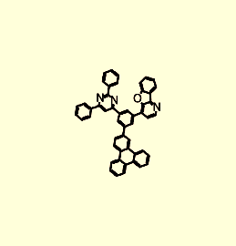 c1ccc(-c2cc(-c3cc(-c4ccc5c6ccccc6c6ccccc6c5c4)cc(-c4ccnc5c4oc4ccccc45)c3)nc(-c3ccccc3)n2)cc1